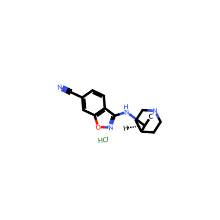 Cl.N#Cc1ccc2c(N[C@H]3CN4CCC3CC4)noc2c1